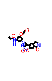 C=CC(=O)Nc1cc(OCCOC)cc(-n2cc(-c3ccc4c(c3)CCNC4=O)c([N+](=O)[O-])n2)c1